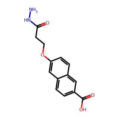 NNC(=O)CCOc1ccc2cc(C(=O)O)ccc2c1